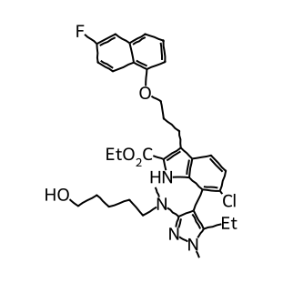 CCOC(=O)c1[nH]c2c(-c3c(N(C)CCCCCO)nn(C)c3CC)c(Cl)ccc2c1CCCOc1cccc2cc(F)ccc12